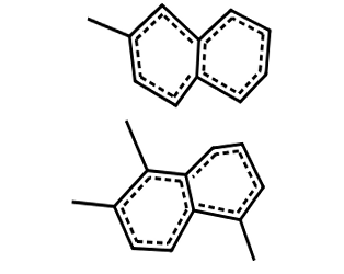 Cc1ccc2c(C)cccc2c1C.Cc1ccc2ccccc2c1